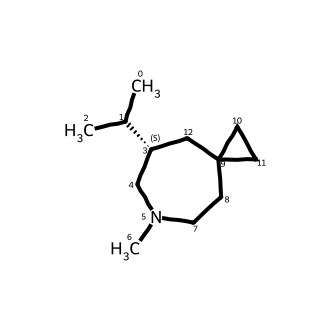 CC(C)[C@H]1CN(C)CCC2(CC2)C1